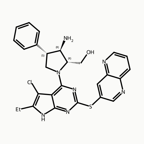 CCc1[nH]c2nc(Sc3cnc4cccnc4c3)nc(N3C[C@H](c4ccccc4)[C@@H](N)[C@@H]3CO)c2c1Cl